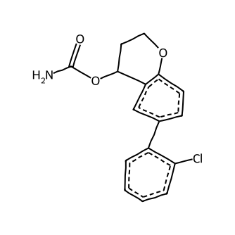 NC(=O)OC1CCOc2ccc(-c3ccccc3Cl)cc21